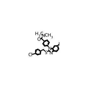 CN(C)C(=O)c1ccc(-n2c(SCc3ccc(Cl)cc3)nc3ccc(I)cc32)cc1